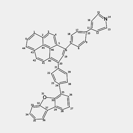 c1cc2ccc3c(-c4ccc(-c5ccncc5)cc4)cc(-c4ccc(-c5cccc6c5oc5ccccc56)cc4)c4ccc(c1)c2c34